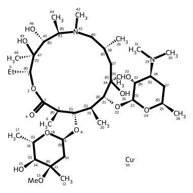 CC[C@H]1OC(=O)[C@H](C)[C@@H](O[C@H]2C[C@@](C)(OC)[C@@H](O)[C@H](C)O2)[C@H](C)[C@@H](O[C@@H]2O[C@H](C)C[C@H](N(C)C)[C@H]2O)[C@](C)(O)C[C@@H](C)CN(C)[C@H](C)[C@@H](O)[C@]1(C)O.[Cu]